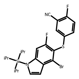 CC(C)[Si](C(C)C)(C(C)C)n1ccc2c(Br)c(Sc3ccc(F)c(C#N)c3)c(F)cc21